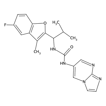 Cc1c(C(NC(=O)Nc2cnc3nccn3c2)C(C)C)oc2ccc(F)cc12